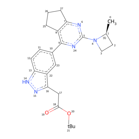 C[C@H]1CCN1c1nc2c(c(-c3ccc4[nH]nc(CC(=O)OC(C)(C)C)c4c3)n1)CCC2